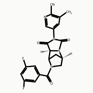 Cc1cc(N2C(=O)[C@@H]3C4C[C@H](CN4C(=O)c4cc(F)cc(F)c4)N3C2=O)cnc1C#N